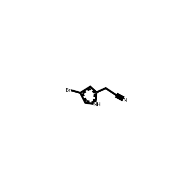 N#CCc1cc(Br)c[nH]1